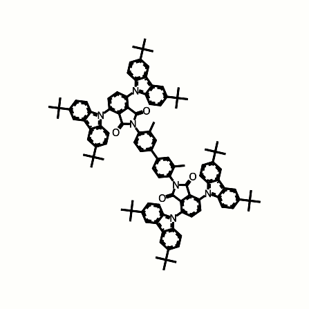 Cc1cc(-c2ccc(N3C(=O)c4c(-n5c6ccc(C(C)(C)C)cc6c6cc(C(C)(C)C)ccc65)ccc(-n5c6ccc(C(C)(C)C)cc6c6cc(C(C)(C)C)ccc65)c4C3=O)c(C)c2)ccc1N1C(=O)c2c(-n3c4ccc(C(C)(C)C)cc4c4cc(C(C)(C)C)ccc43)ccc(-n3c4ccc(C(C)(C)C)cc4c4cc(C(C)(C)C)ccc43)c2C1=O